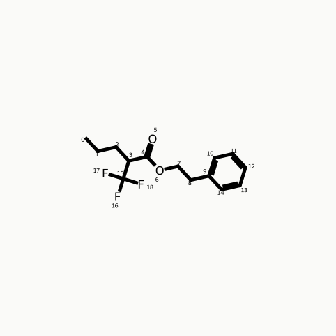 CCCC(C(=O)OCCc1ccccc1)C(F)(F)F